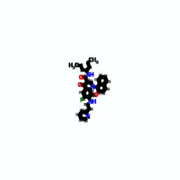 CCCC(CCC)NC(=O)c1cn2c3c(c(NCCc4ccccn4)c(F)cc3c1=O)Oc1ccc3ccccc3c1-2